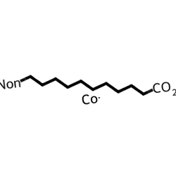 CCCCCCCCCCCCCCCCCCCC(=O)O.[Co]